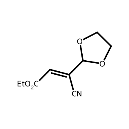 CCOC(=O)/C=C(\C#N)C1OCCO1